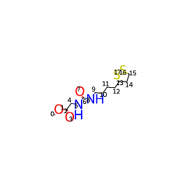 COC(=O)CNC(=O)NCCCCC1CCSS1